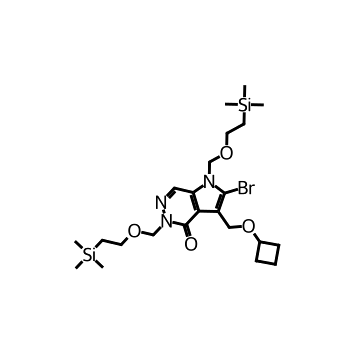 C[Si](C)(C)CCOCn1ncc2c(c(COC3CCC3)c(Br)n2COCC[Si](C)(C)C)c1=O